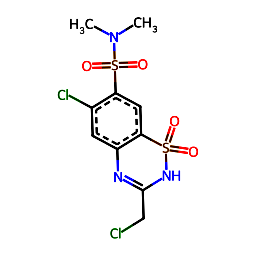 CN(C)S(=O)(=O)c1cc2c(cc1Cl)N=C(CCl)NS2(=O)=O